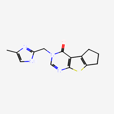 Cc1c[nH]c(Cn2cnc3sc4c(c3c2=O)CCC4)n1